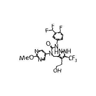 COc1ncc(N(Cc2n[nH]c(C(F)(F)F)c2CCO)C(=O)Nc2ccc(F)c(C(F)F)c2)cn1